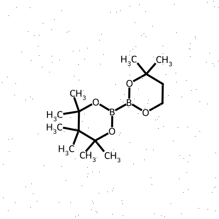 CC1(C)CCOB(B2OC(C)(C)C(C)(C)C(C)(C)O2)O1